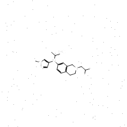 CC(C)N(c1ccc2c(c1)CN(CC(F)F)CC2)c1cnn(C)c1.Cl